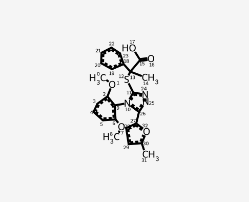 COc1cccc(OC)c1-n1c(SC(C)(C(=O)O)c2ccccc2)nnc1-c1ccc(C)o1